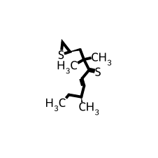 CC[C@@H](C)C=CC(=S)C(C)(C)C[C@@H]1CS1